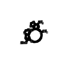 COc1cc2ncnc3c2cc1OCCCCCN(C)Cc1cc(N)c2c(c1N3)OCO2